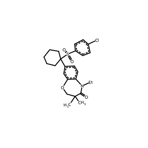 CCN1C(=O)C(C)(C)COc2cc(C3(S(=O)(=O)c4ccc(Cl)cc4)CCCCC3)ccc21